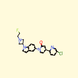 O=c1cc(-c2ccc(Cl)cn2)ccn1-c1ccc2c(ccn2C2CN(CCF)C2)c1